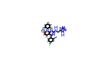 Cc1cc(F)ccc1-c1nc(NCc2nnn[nH]2)nc2c1ccc(=O)n2-c1c(F)cccc1F